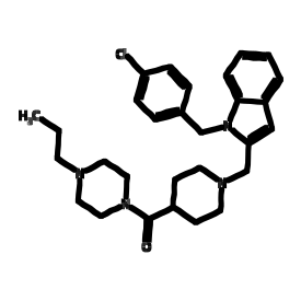 CCCN1CCN(C(=O)C2CCN(Cc3cc4ccccc4n3Cc3ccc(Cl)cc3)CC2)CC1